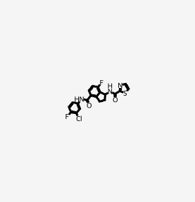 O=C(NC1CCc2c(C(=O)Nc3ccc(F)c(Cl)c3)ccc(F)c21)c1nccs1